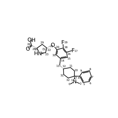 CN(C)[C@]1(c2ccccc2)CC[C@@H](Cc2cc(F)c(F)c(O[C@@H]3CN[C@H](C(=O)O)C3)c2)CC1